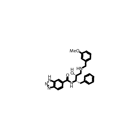 COc1cccc(CNC[C@@H](O)[C@H](Cc2ccccc2)NC(=O)c2ccc3nn[nH]c3c2)c1